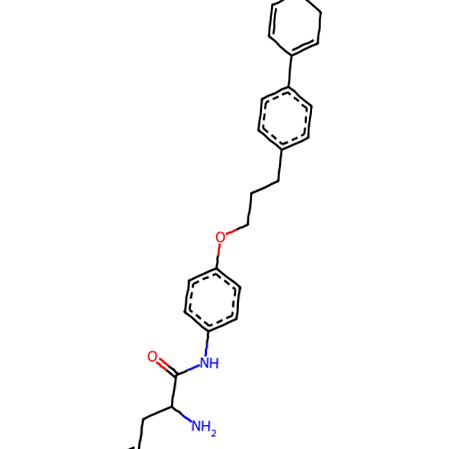 NC(CC=O)C(=O)Nc1ccc(OCCCc2ccc(C3=CCCC=C3)cc2)cc1